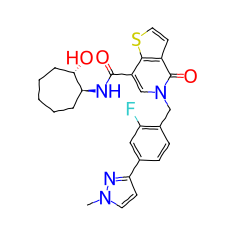 Cn1ccc(-c2ccc(Cn3cc(C(=O)N[C@H]4CCCCC[C@@H]4O)c4sccc4c3=O)c(F)c2)n1